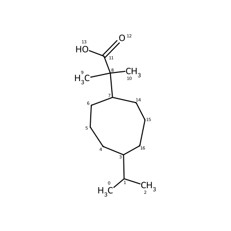 CC(C)C1CCCC(C(C)(C)C(=O)O)CCC1